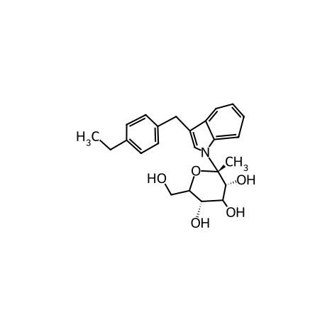 CCc1ccc(Cc2cn([C@@]3(C)OC(CO)[C@@H](O)C(O)[C@H]3O)c3ccccc23)cc1